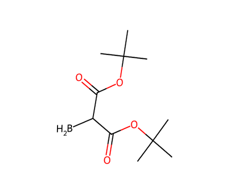 BC(C(=O)OC(C)(C)C)C(=O)OC(C)(C)C